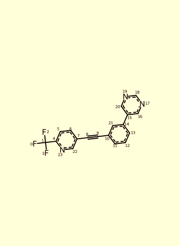 FC(F)(F)c1ccc(C#Cc2cccc(-c3cncnc3)c2)cn1